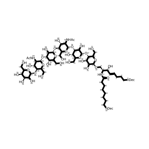 CCCCCCCCCCCCC/C=C/[C@@H](O)[C@H](CO[C@@H]1OC(CO)[C@@H](O[C@@H]2OC(CO)[C@H](O)[C@H](O[C@@H]3OC(CO)[C@@H](O[C@@H]4OC(CO)[C@H](O)[C@H](O[C@@H]5OC(CO)[C@@H](O[C@@H]6OC(CO)[C@H](O)[C@H](O)C6O)[C@H](O)C5NC(C)=O)C4O)[C@H](O)C3NC(C)=O)C2O)[C@H](O)C1O)NC(=O)CCCCCCCCCCCCCCCCC